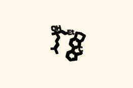 CCC=CC(C)(O)CCC=C(C)C.c1ccc2c(c1)ccc1c3c(ccc12)CCCC3